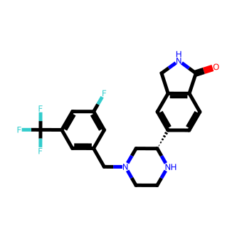 O=C1NCc2cc([C@H]3CN(Cc4cc(F)cc(C(F)(F)F)c4)CCN3)ccc21